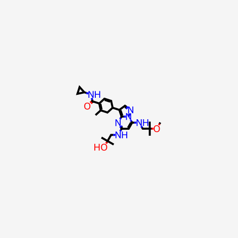 COC(C)(C)CNc1cc(NCC(C)(C)O)nc2c(C3C=CC(C(=O)NC4CC4)=C(C)C3)cnn12